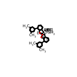 CCC1=Cc2c(-c3cc(C)cc(C)c3)cccc2[CH]1[Zr]([CH3])([CH3])(=[SiH2])[CH]1C(C)=Cc2c(-c3cc(C)cc(C)c3)cccc21.Cl.Cl